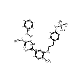 CC(C)[Si](Oc1ccc(CCOc2cc(C(=O)N[C@@H](CCc3ccccc3)C(=O)OC(C)(C)C)ccc2[N+](=O)[O-])cc1)(C(C)C)C(C)C